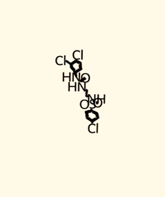 O=C(NCCNS(=O)(=O)c1ccc(Cl)cc1)Nc1ccc(Cl)c(Cl)c1